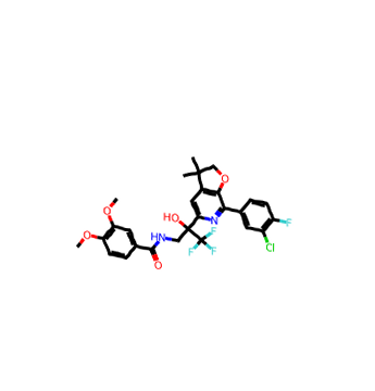 COc1ccc(C(=O)NCC(O)(c2cc3c(c(-c4ccc(F)c(Cl)c4)n2)OCC3(C)C)C(F)(F)F)cc1OC